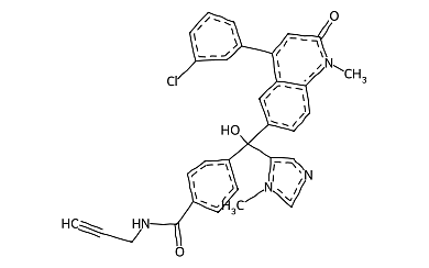 C#CCNC(=O)c1ccc(C(O)(c2ccc3c(c2)c(-c2cccc(Cl)c2)cc(=O)n3C)c2cncn2C)cc1